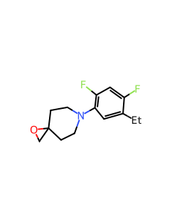 CCc1cc(N2CCC3(CC2)CO3)c(F)cc1F